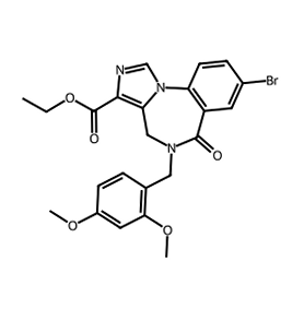 CCOC(=O)c1ncn2c1CN(Cc1ccc(OC)cc1OC)C(=O)c1cc(Br)ccc1-2